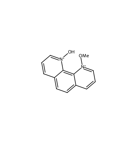 CO[n+]1cccc2ccc3ccc[n+](O)c3c21